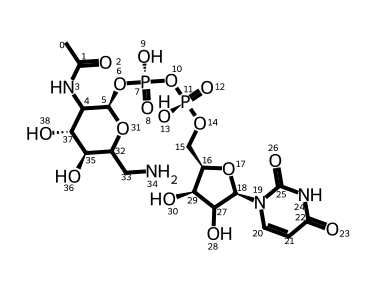 CC(=O)NC1[C@@H](O[P@@](=O)(O)O[P@@](=O)(O)OC[C@H]2O[C@@H](n3ccc(=O)[nH]c3=O)C(O)[C@H]2O)OC(CN)[C@@H](O)[C@@H]1O